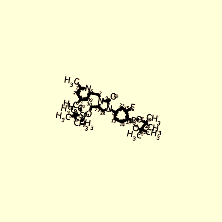 Cc1cc(C)nc(CN2C(=O)N(c3ccc(B4OC(C)(C)C(C)(C)O4)c(F)c3)CC2CO[Si](C)(C)C(C)(C)C)c1